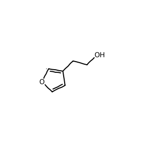 OCCc1[c]occ1